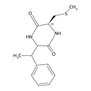 CSC[C@H]1NC(=O)C(C(C)c2ccccc2)NC1=O